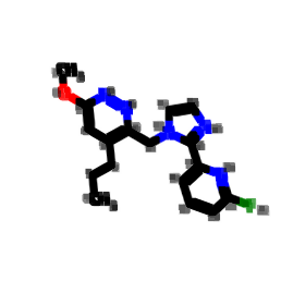 CCCc1cc(OC)nnc1Cn1ccnc1-c1cccc(F)n1